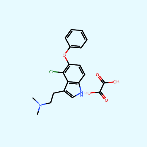 CN(C)CCc1c[nH]c2ccc(Oc3ccccc3)c(Cl)c12.O=C(O)C(=O)O